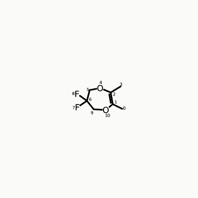 CC1=C(C)OCC(F)(F)CO1